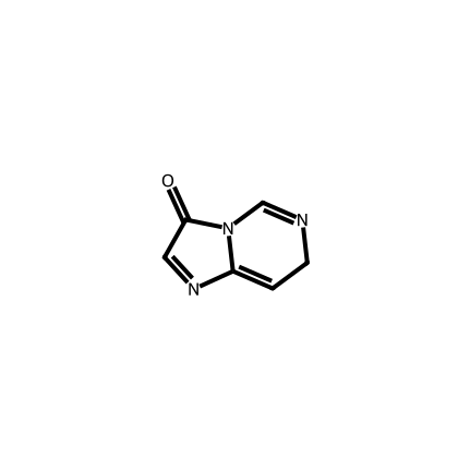 O=C1C=NC2=CCN=CN12